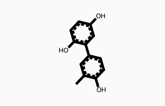 Cc1cc(-c2cc(O)ccc2O)ccc1O